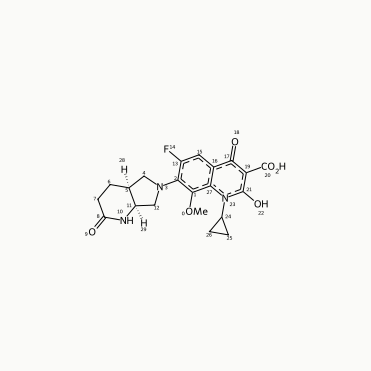 COc1c(N2C[C@@H]3CCC(=O)N[C@@H]3C2)c(F)cc2c(=O)c(C(=O)O)c(O)n(C3CC3)c12